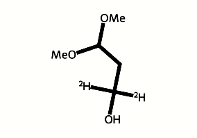 [2H]C([2H])(O)CC(OC)OC